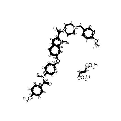 CC(C)Oc1ccc(CN2CCN(C(=O)c3cc4ccc(Oc5ccc(N(C)C(=O)c6ccc(C(F)(F)F)cc6)cn5)cc4n3C)CC2)cn1.O=C(O)C=CC(=O)O